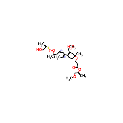 C=C(C/C=C\C(=C/C)C1=C(CC)CC(C)(OCCC(=O)OC(=C)COC)CC1)OOSC(=C)CO.O